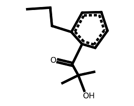 CCCc1ccccc1C(=O)C(C)(C)O